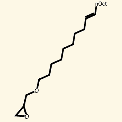 CCCCCCCC/C=C/CCCCCCCCOCC1CO1